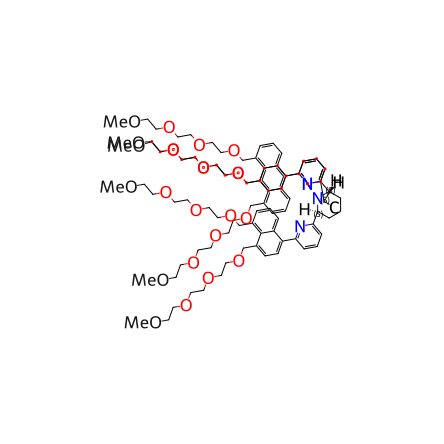 COCCOCCOCCOCc1cccc2c(-c3cccc([C@@H]4CC5C[C@@H](c6cccc(-c7ccc(COCCOCCOCCOC)c8c(COCCOCCOCCOC)cccc78)n6)N4[C@H](c4cccc(-c6ccc(COCCOCCOCCOC)c7c(COCCOCCOCCOC)cccc67)n4)C5)n3)ccc(COCCOCCOCCOC)c12